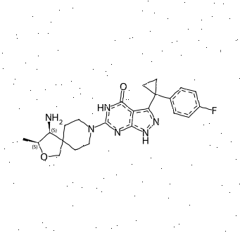 C[C@@H]1OCC2(CCN(c3nc4[nH]nc(C5(c6ccc(F)cc6)CC5)c4c(=O)[nH]3)CC2)[C@@H]1N